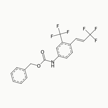 O=C(Nc1ccc(C=CC(F)(F)F)c(C(F)(F)F)c1)OCc1ccccc1